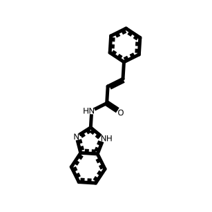 O=C(C=Cc1ccccc1)Nc1nc2ccccc2[nH]1